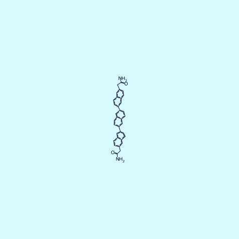 NC(=O)Cc1ccc2cc(-c3ccc4cc(-c5ccc6cc(CC(N)=O)ccc6c5)ccc4c3)ccc2c1